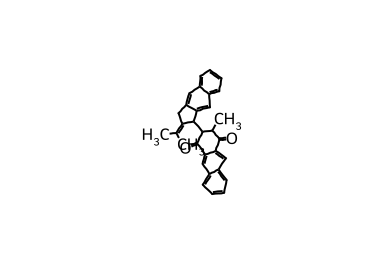 CC(C)=C1Cc2cc3ccccc3cc2C1C1C(=O)c2cc3ccccc3cc2C(=O)C1C